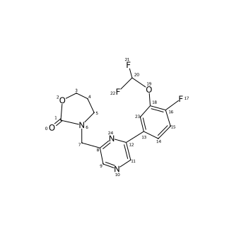 O=C1OCCCN1Cc1cncc(-c2ccc(F)c(OC(F)F)c2)n1